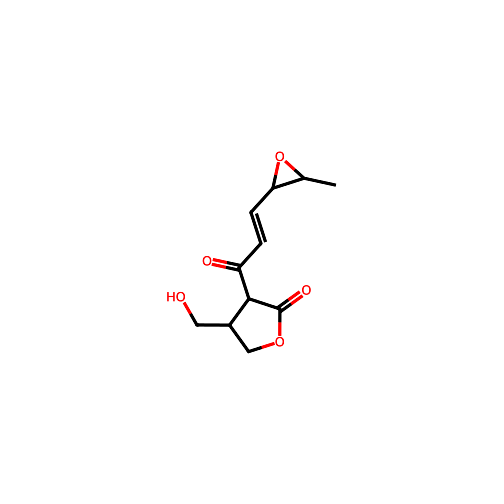 CC1OC1/C=C/C(=O)C1C(=O)OCC1CO